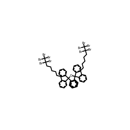 BrC(Br)(Br)C(Br)(Br)CCCCCCc1ccccc1C(OC(c1ccccc1)(c1ccccc1)c1ccccc1CCCCCCC(Br)(Br)C(Br)(Br)Br)(c1ccccc1)c1ccccc1